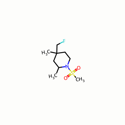 CC1CC(C)(CF)CCN1S(C)(=O)=O